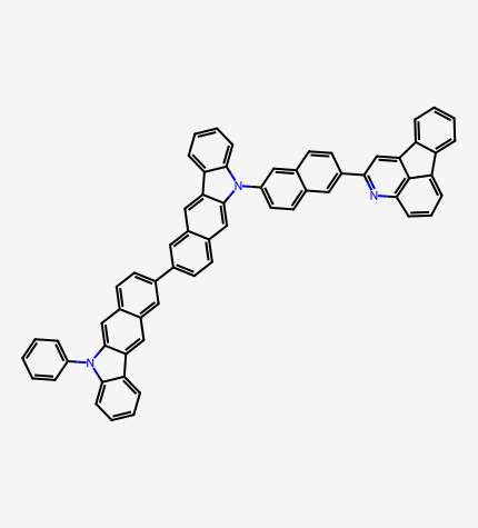 c1ccc(-n2c3ccccc3c3cc4cc(-c5ccc6cc7c(cc6c5)c5ccccc5n7-c5ccc6cc(-c7cc8c9c(cccc9n7)-c7ccccc7-8)ccc6c5)ccc4cc32)cc1